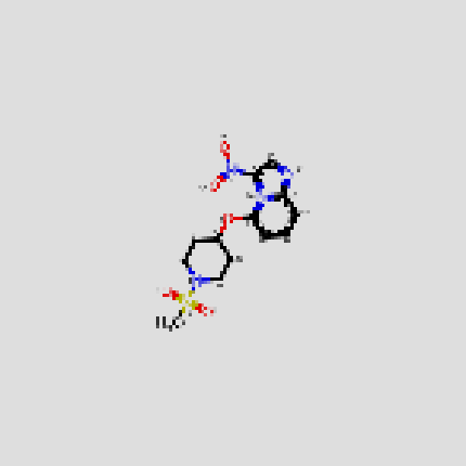 CS(=O)(=O)N1CCC(Oc2cccc3ncc([N+](=O)[O-])n23)CC1